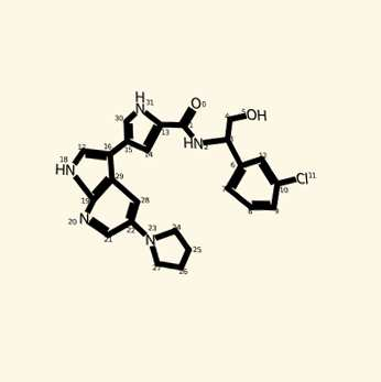 O=C(NC(CO)c1cccc(Cl)c1)c1cc(-c2c[nH]c3ncc(N4CCCC4)cc23)c[nH]1